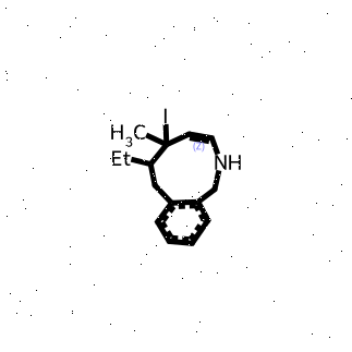 CCC1Cc2ccccc2CN/C=C\C1(C)I